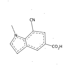 Cn1ccc2cc(C(=O)O)cc(C#N)c21